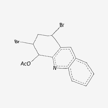 CC(=O)OC1c2nc3ccccc3cc2C(Br)CC1Br